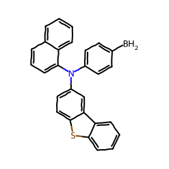 Bc1ccc(N(c2ccc3sc4ccccc4c3c2)c2cccc3ccccc23)cc1